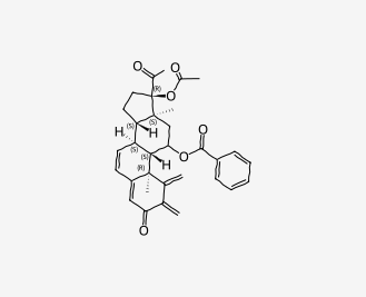 C=C1C(=C)[C@@]2(C)C(=CC1=O)C=C[C@@H]1[C@@H]2C(OC(=O)c2ccccc2)C[C@@]2(C)[C@H]1CC[C@]2(OC(C)=O)C(C)=O